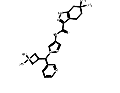 CC1(C)CCc2c(C(=O)Nc3cnn(C(c4cccnc4)C4CS(O)(O)C4)c3)n[nH]c2C1